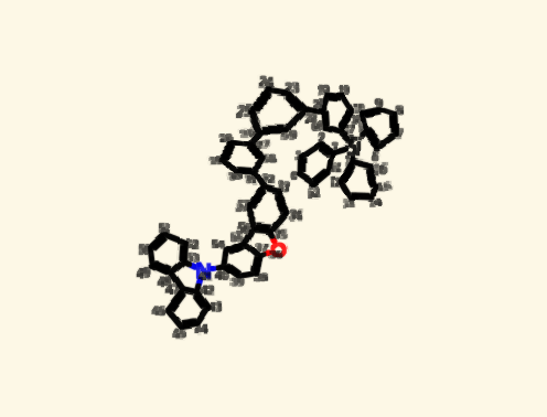 c1ccc([Si](c2ccccc2)(c2ccccc2)c2cccc(-c3cccc(-c4cccc(-c5ccc6oc7ccc(-n8c9ccccc9c9ccccc98)cc7c6c5)c4)c3)c2)cc1